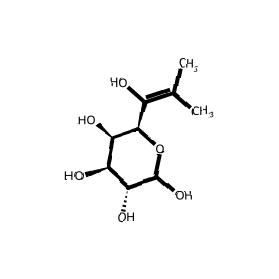 CC(C)=C(O)[C@H]1OC(O)[C@H](O)[C@@H](O)[C@H]1O